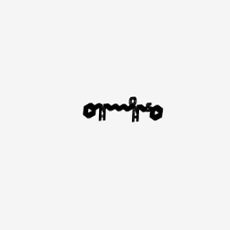 O=C(CCCCCCNCc1ccccc1)NCCSc1ccccc1